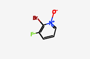 [O-][n+]1cccc(F)c1Br